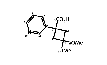 COC1(OC)CC(C(=O)O)(c2cccnc2)C1